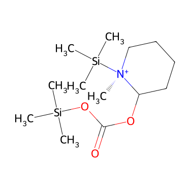 C[N@+]1([Si](C)(C)C)CCCCC1OC(=O)O[Si](C)(C)C